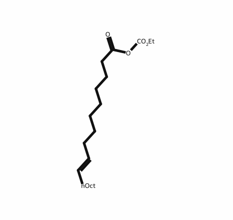 CCCCCCCCC=CCCCCCCCC(=O)OC(=O)OCC